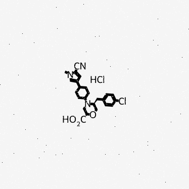 Cl.Cn1cc(C2CCC(N3C[C@H](C(=O)O)OC[C@@H]3Cc3ccc(Cl)cc3)CC2)cc1C#N